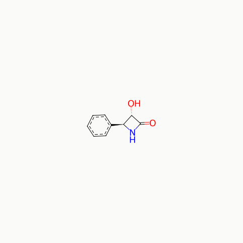 O=C1N[C@@H](c2ccccc2)[C@@H]1O